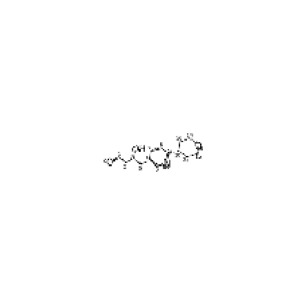 O=CCC(O)Cc1ccc(C2CCOCC2)nc1